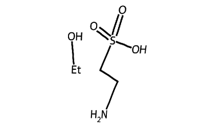 CCO.NCCS(=O)(=O)O